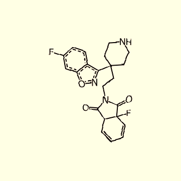 O=C1C2C=CC=CC2(F)C(=O)N1CCC1(c2noc3cc(F)ccc23)CCNCC1